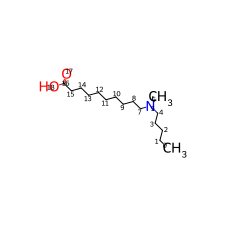 CCCCCN(C)CCCCCCCCCC(=O)O